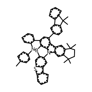 Cc1ccc(N2B3c4cc5sc6ccccc6c5cc4-n4c5cc6c(cc5c5c(-c7ccc8c(c7)-c7ccccc7C8(C)C)cc(c3c54)-c3ccccc32)C(C)(C)CCC6(C)C)cc1